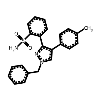 Cc1ccc(-c2cn(Cc3ccccc3)nc2-c2ccccc2S(N)(=O)=O)cc1